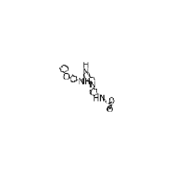 CS(=O)(=O)CCNCc1cccc(N2C=CC3=CNC=C(Nc4ccc(Oc5ccccc5)cc4)C3=C2)c1